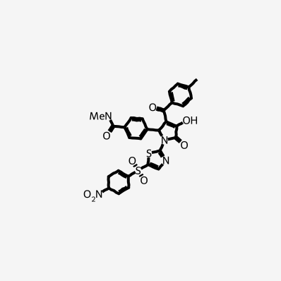 CNC(=O)c1ccc(C2C(C(=O)c3ccc(C)cc3)=C(O)C(=O)N2c2ncc(S(=O)(=O)C3=CCC([N+](=O)[O-])C=C3)s2)cc1